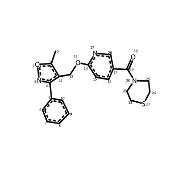 Cc1onc(-c2ccccc2)c1COc1ccc(C(=O)N2CCSCC2)cn1